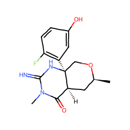 C[C@H]1C[C@H]2C(=O)N(C)C(=N)N[C@@]2(c2cc(O)ccc2F)CO1